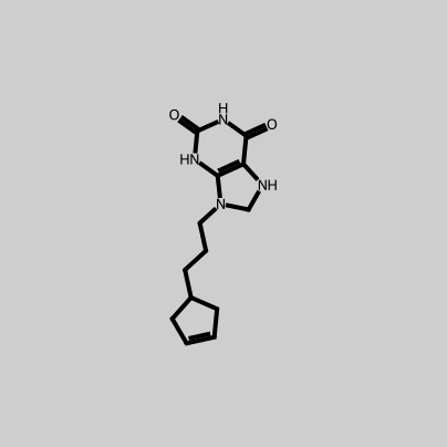 O=c1[nH]c2c(c(=O)[nH]1)NCN2CCCC1CC=CC1